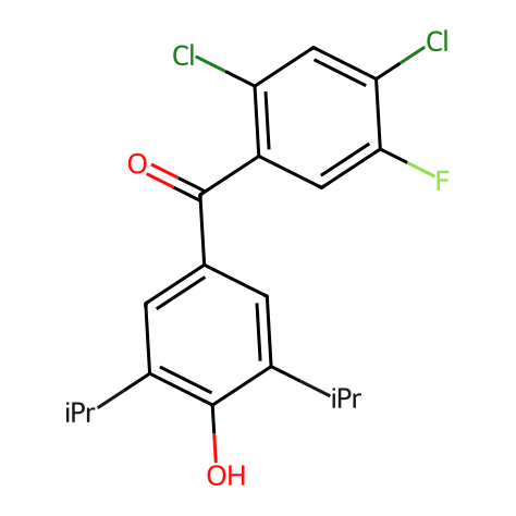 CC(C)c1cc(C(=O)c2cc(F)c(Cl)cc2Cl)cc(C(C)C)c1O